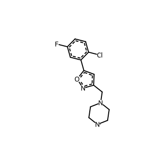 Fc1ccc(Cl)c(-c2cc(CN3CC[N]CC3)no2)c1